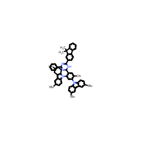 CC(C)(C)c1ccc2c(c1)c1c(n2-c2cc(-n3c4ccc(C(C)(C)C)cc4c4cc(C(C)(C)C)ccc43)c(C#N)cc2C2N=C(c3ccccc3)N=C(c3ccc4c(c3)C(C)(C)c3ccccc3-4)N2)CCC(C(C)(C)C)C1